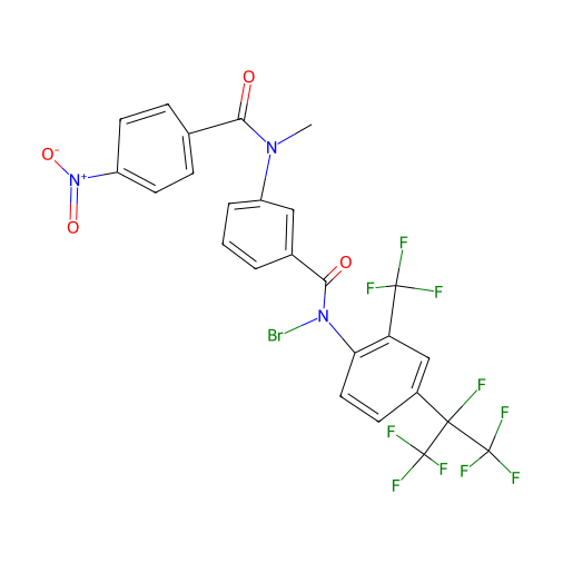 CN(C(=O)c1ccc([N+](=O)[O-])cc1)c1cccc(C(=O)N(Br)c2ccc(C(F)(C(F)(F)F)C(F)(F)F)cc2C(F)(F)F)c1